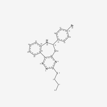 CCCSc1nnc2c(n1)OC(c1ccc(Br)cc1)Nc1ccccc1-2